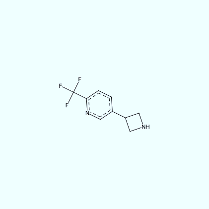 FC(F)(F)c1ccc(C2CNC2)cn1